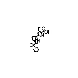 O=C(O)c1ncc(-c2cccc3c(C(=O)N4CCCCC4)cnn23)cc1F